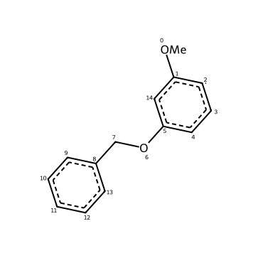 COc1[c]ccc(OCc2ccccc2)c1